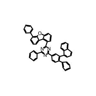 c1ccc(-c2nc(-c3ccc(-c4ccccc4)c(-c4cccc5ccccc45)c3)nc(-c3cccc4oc5c(-c6ccccc6)cccc5c34)n2)cc1